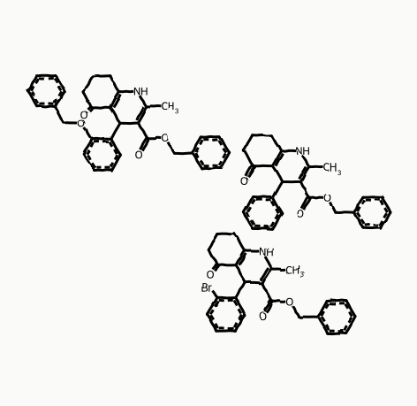 CC1=C(C(=O)OCc2ccccc2)C(c2ccccc2)C2=C(CCCC2=O)N1.CC1=C(C(=O)OCc2ccccc2)C(c2ccccc2Br)C2=C(CCCC2=O)N1.CC1=C(C(=O)OCc2ccccc2)C(c2ccccc2OCc2ccccc2)C2=C(CCCC2=O)N1